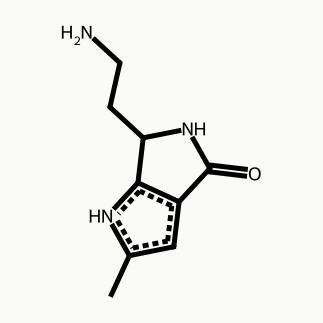 Cc1cc2c([nH]1)C(CCN)NC2=O